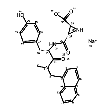 CN(Cc1cccc2ccccc12)C(=O)[C@H](Cc1ccc(O)cc1)NC(=O)[C@H]1N[C@@H]1C(=O)[O-].[Na+]